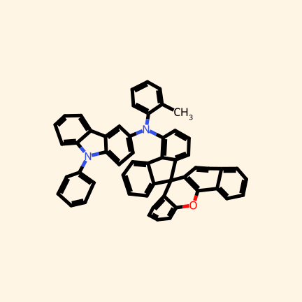 Cc1ccccc1N(c1ccc2c(c1)c1ccccc1n2-c1ccccc1)c1cccc2c1-c1ccccc1C21c2ccccc2Oc2c1ccc1ccccc21